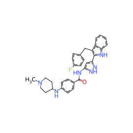 CN1CCC(Nc2ccc(C(=O)Nc3cc(-c4[nH]c5ccccc5c4Cc4ccc(F)cc4)n[nH]3)cc2)CC1